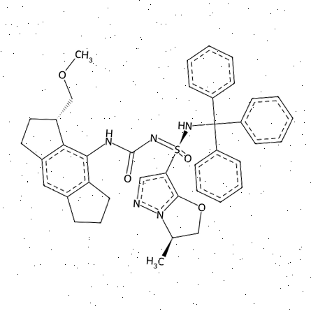 COC[C@H]1CCc2cc3c(c(NC(=O)N=[S@@](=O)(NC(c4ccccc4)(c4ccccc4)c4ccccc4)c4cnn5c4OC[C@H]5C)c21)CCC3